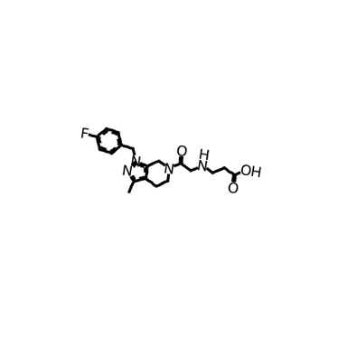 Cc1nn(Cc2ccc(F)cc2)c2c1CCN(C(=O)CNCCC(=O)O)C2